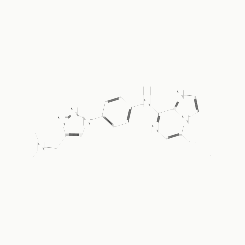 Bc1cnc(Nc2ccc(-n3cc(CN(C)C)nn3)cc2)c2nccn12